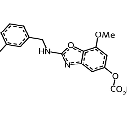 COc1cc(OC(=O)O)cc2nc(NCc3cccc(Cl)c3)oc12